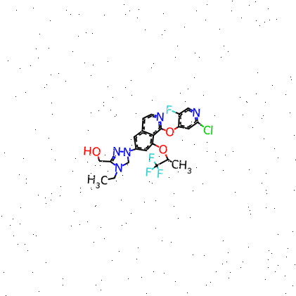 CCN1CN(c2cc(OC(C)C(F)(F)F)c3c(Oc4cc(Cl)ncc4F)nccc3c2)N=C1CO